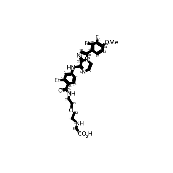 CCc1cc(Nc2nccn3c(-c4ccc(OC)c(F)c4F)cnc23)ccc1C(=O)NCCOCCNCC(=O)O